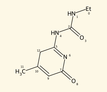 [CH2]CNC(=O)NC1=NC(=O)C=C(C)C1